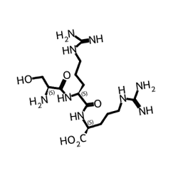 N=C(N)NCCC[C@H](NC(=O)[C@H](CCCNC(=N)N)NC(=O)[C@@H](N)CO)C(=O)O